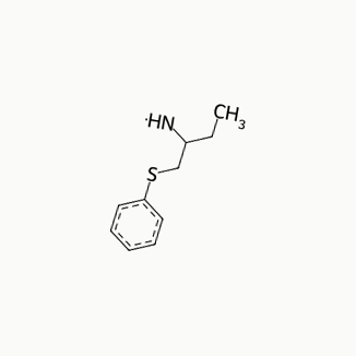 CCC([NH])CSc1ccccc1